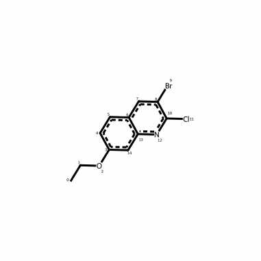 CCOc1ccc2cc(Br)c(Cl)nc2c1